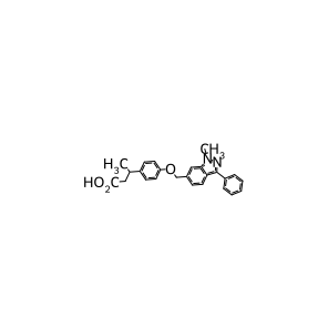 CC(CC(=O)O)c1ccc(OCc2ccc3c(-c4ccccc4)nn(C)c3c2)cc1